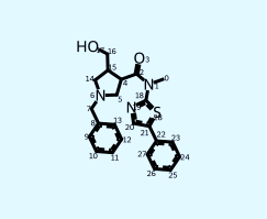 CN(C(=O)C1CN(Cc2ccccc2)CC1CO)c1ncc(-c2ccccc2)s1